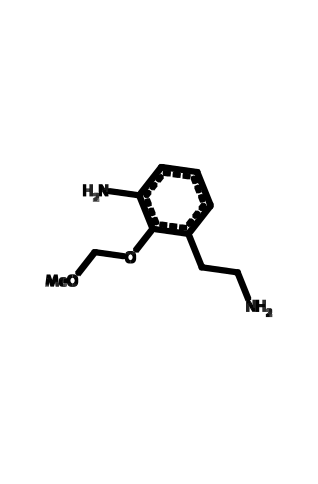 COCOc1c(N)cccc1CCN